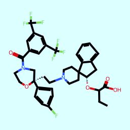 CCC(O[C@H]1Cc2ccccc2C12CCN(CC[C@@]1(c3ccc(F)cc3)CN(C(=O)c3cc(C(F)(F)F)cc(C(F)(F)F)c3)CCO1)CC2)C(=O)O